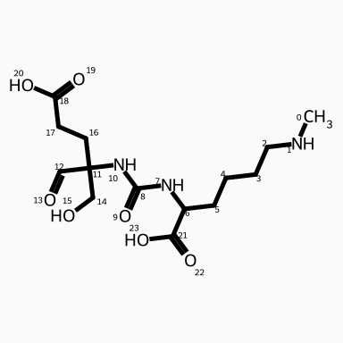 CNCCCCC(NC(=O)NC(C=O)(CO)CCC(=O)O)C(=O)O